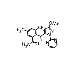 COc1cc(C(C)c2c(C(N)=O)cc(C(F)(F)F)cc2C(F)(F)F)n(-c2ncccn2)n1